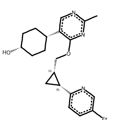 CCc1ccc([C@@H]2C[C@@H]2COc2nc(C)ncc2[C@H]2CC[C@@H](O)CC2)nc1